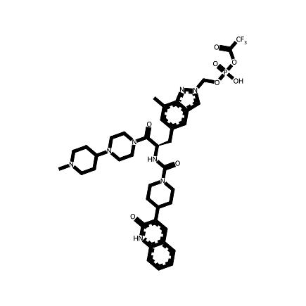 Cc1cc(C[C@@H](NC(=O)N2CCC(c3cc4ccccc4[nH]c3=O)CC2)C(=O)N2CCN(C3CCN(C)CC3)CC2)cc2cn(COP(=O)(O)OC(=O)C(F)(F)F)nc12